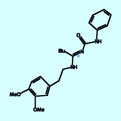 CCC(C)/C(=N\C(=O)Nc1ccccc1)NCCc1ccc(OC)c(OC)c1